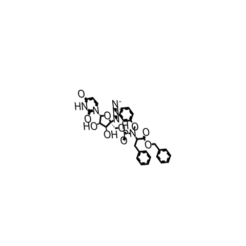 [N-]=[N+]=N[C@]1(CO[PH](=O)N(Oc2ccccc2)C(Cc2ccccc2)C(=O)OCc2ccccc2)O[C@@H](n2ccc(=O)[nH]c2=O)[C@H](O)[C@@H]1O